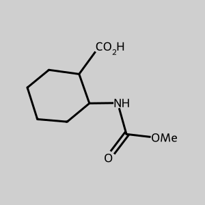 COC(=O)NC1CCCCC1C(=O)O